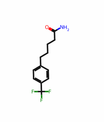 NC(=O)CCCCc1ccc(C(F)(F)F)cc1